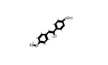 CCCCCCCCc1ccc(C(Cl)=Cc2ccc(OCC)cc2)cc1